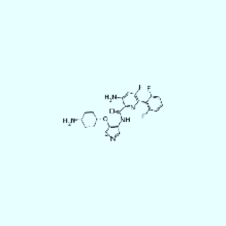 Nc1cc(F)c(-c2c(F)cccc2F)nc1C(=O)Nc1cnsc1O[C@H]1CC[C@H](N)CC1